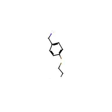 CCOC(=O)CCSc1ccc(CN)cc1